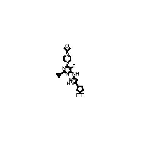 Fc1c(Nc2cc(C3CCC(F)(F)C3)[nH]n2)nc(C2CC2)nc1N1CCN(C2COC2)CC1